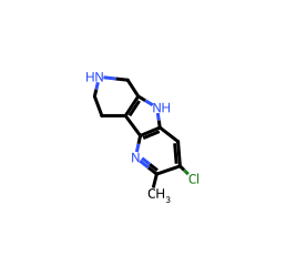 Cc1nc2c3c([nH]c2cc1Cl)CNCC3